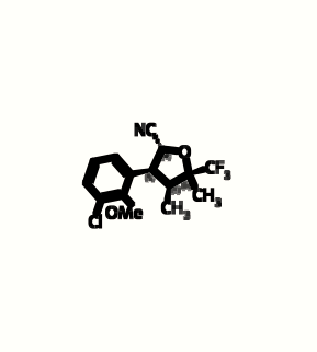 COc1c(Cl)cccc1[C@H]1[C@H](C#N)O[C@@](C)(C(F)(F)F)[C@H]1C